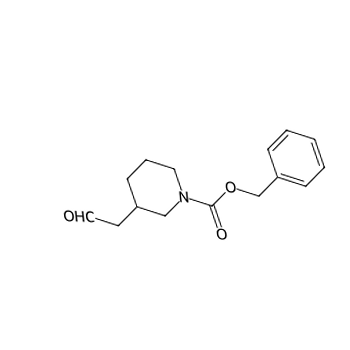 O=CCC1CCCN(C(=O)OCc2ccccc2)C1